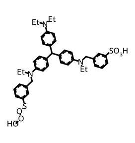 CCN(CC)c1ccc(C(c2ccc(N(CC)Cc3cccc(SOOO)c3)cc2)c2ccc(N(CC)Cc3cccc(S(=O)(=O)O)c3)cc2)cc1